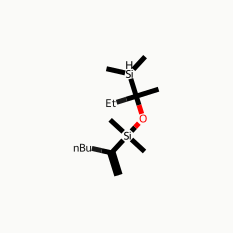 C=C(CCCC)[Si](C)(C)OC(C)(CC)[SiH](C)C